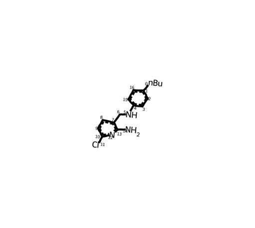 CCCCc1ccc(NCc2ccc(Cl)nc2N)cc1